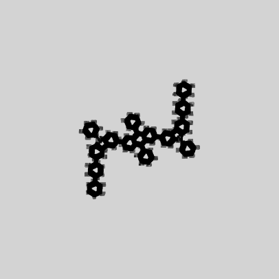 c1ccc(-c2ccc(-c3ccc4c(c3)c3cc(-c5ccc6c(-c7ccccc7)c7cc(-c8ccc9c(c8)c8cc(-c%10ccc(-c%11ccccc%11)cc%10)ccc8n9-c8ccccc8)ccc7c(-c7ccccc7)c6c5)ccc3n4-c3ccccc3)cc2)cc1